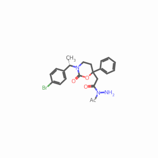 CC(=O)N(N)C(=O)CC1(c2ccccc2)CCN([C@@H](C)c2ccc(Br)cc2)C(=O)O1